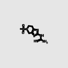 CS(=O)(=O)N1CCc2nc(NC(=N)N)sc2C1